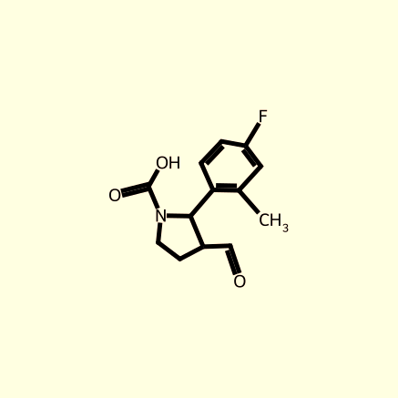 Cc1cc(F)ccc1C1C(C=O)CCN1C(=O)O